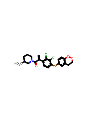 C=C(C(=O)N1CCCC(C(=O)O)C1)c1ccc(Sc2ccc3c(c2)CCOO3)c(Cl)c1Cl